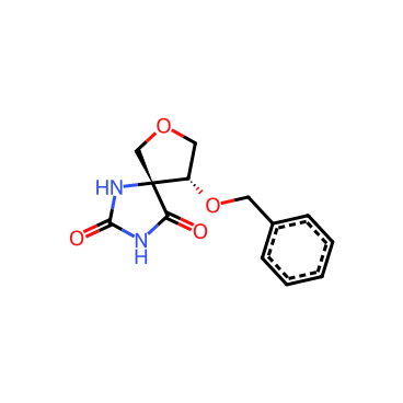 O=C1NC(=O)[C@]2(COC[C@@H]2OCc2ccccc2)N1